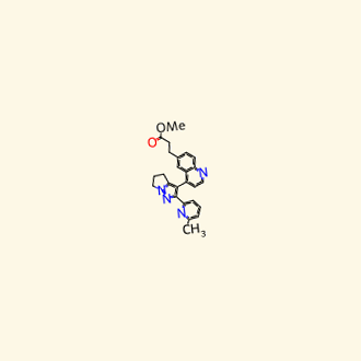 COC(=O)CCc1ccc2nccc(-c3c(-c4cccc(C)n4)nn4c3CCC4)c2c1